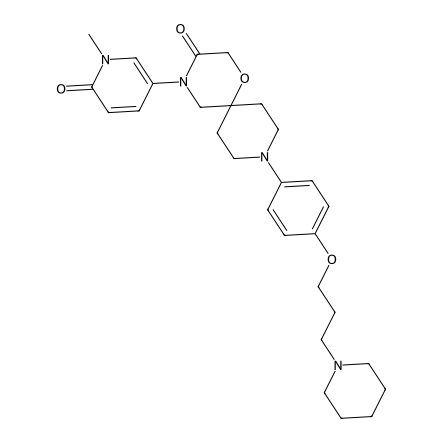 Cn1cc(N2CC3(CCN(c4ccc(OCCCN5CCCCC5)cc4)CC3)OCC2=O)ccc1=O